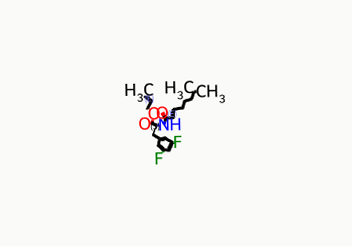 C/C=C/COC(=O)[C@H](Cc1cc(F)cc(F)c1)NC(=O)/C=C/CCCC(C)C